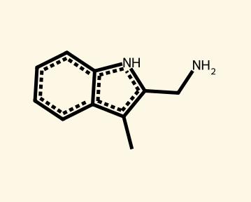 Cc1c(CN)[nH]c2ccccc12